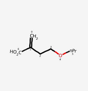 C=C(CCOCCC)C(=O)O